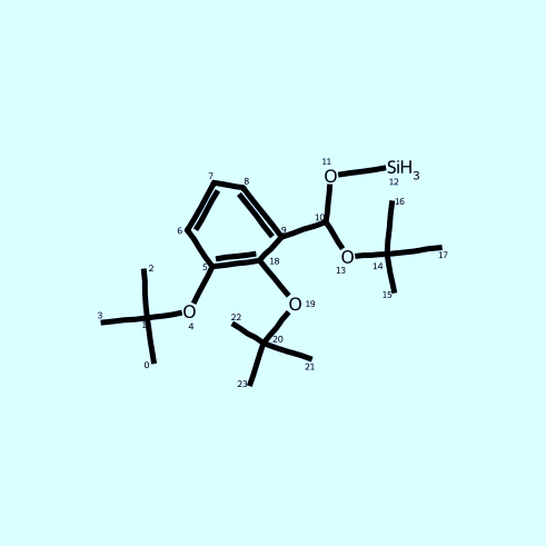 CC(C)(C)Oc1cccc(C(O[SiH3])OC(C)(C)C)c1OC(C)(C)C